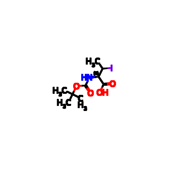 CC(I)[C@H](NC(=O)OC(C)(C)C)C(=O)O